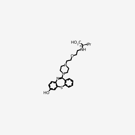 CC(C)[C@@H](NCCOCCN1CCN(C2=Nc3ccc(O)cc3Sc3ccccc32)CC1)C(=O)O